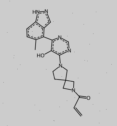 C=CC(=O)N1CC2(CCN(c3ncnc(-c4c(C)ccc5[nH]ncc45)c3O)C2)C1